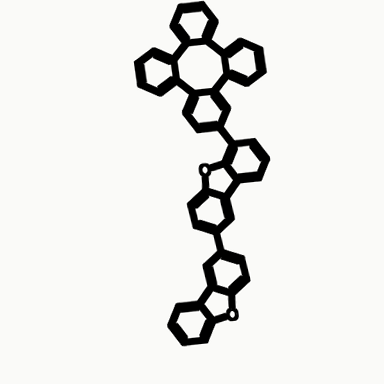 c1ccc2c(c1)-c1ccccc1-c1ccc(-c3cccc4c3oc3ccc(-c5ccc6oc7ccccc7c6c5)cc34)cc1-c1ccccc1-2